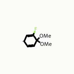 COC1(OC)C=C[CH]C=C1F